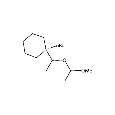 CCCC[N+]1(C(C)OC(C)OC)CCCCC1